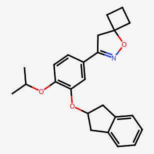 CC(C)Oc1ccc(C2=NOC3(CCC3)C2)cc1OC1Cc2ccccc2C1